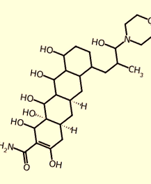 CC(CC1CCC(O)C2C(O)C3C(O)[C@]4(O)C(O)C(C(N)=O)=C(O)C[C@@H]4C[C@@H]3CC12)C(O)N1CCOCC1